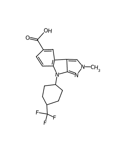 Cn1cc2c3cc(C(=O)O)ccc3n(C3CCC(C(F)(F)F)CC3)c2n1